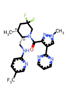 C[C@@H]1CC(F)(F)CN(C(=O)c2nn(C)cc2-c2ncccn2)[C@@H]1CNc1ccc(C(F)(F)F)cn1